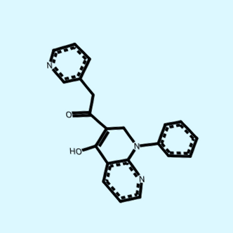 O=C(Cc1cccnc1)C1=C(O)c2cccnc2N(c2ccccc2)C1